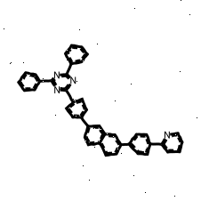 c1ccc(-c2nc(-c3ccccc3)nc(-c3ccc(-c4ccc5ccc(-c6ccc(-c7ccccn7)cc6)cc5c4)cc3)n2)cc1